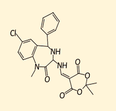 CN1C(=O)C(NC=C2C(=O)OC(C)(C)OC2=O)NC(c2ccccc2)c2cc(Cl)ccc21